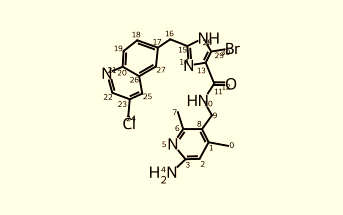 Cc1cc(N)nc(C)c1CNC(=O)c1nc(Cc2ccc3ncc(Cl)cc3c2)[nH]c1Br